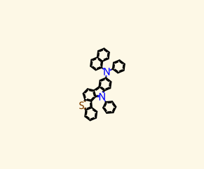 c1ccc(N(c2ccc3c(c2)c2ccc4sc5ccccc5c4c2n3-c2ccccc2)c2cccc3ccccc23)cc1